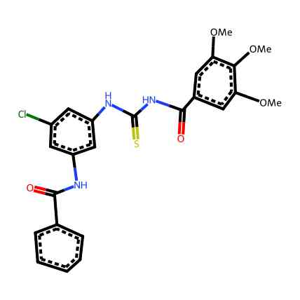 COc1cc(C(=O)NC(=S)Nc2cc(Cl)cc(NC(=O)c3ccccc3)c2)cc(OC)c1OC